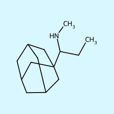 CCC(NC)C12CC3CC(CC(C3)C1)C2